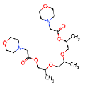 CC(COC(=O)CN1CCOCC1)OCC(C)OCC(C)OC(=O)CN1CCOCC1